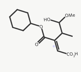 COC(O)C(C)/C(=C\C(=O)O)C(=O)OC1CCCCC1